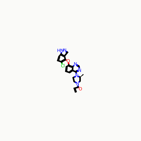 C=CC(=O)N1CCN(c2ncnc3c(Oc4c(Cl)ccc5[nH]ncc45)cccc23)[C@@H](C)C1